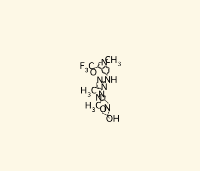 Cc1cnc(Nc2ccc3c(c2)c(C(=O)C(F)(F)F)cn3C)nc1-n1cc(CN2CC(O)CO2)c(C)n1